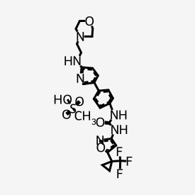 CS(=O)(=O)O.O=C(Nc1ccc(-c2ccc(NCCN3CCOCC3)nc2)cc1)Nc1cc(C2(C(F)(F)F)CC2)on1